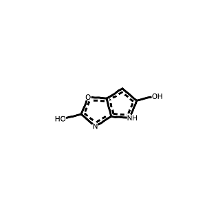 Oc1cc2oc(O)nc2[nH]1